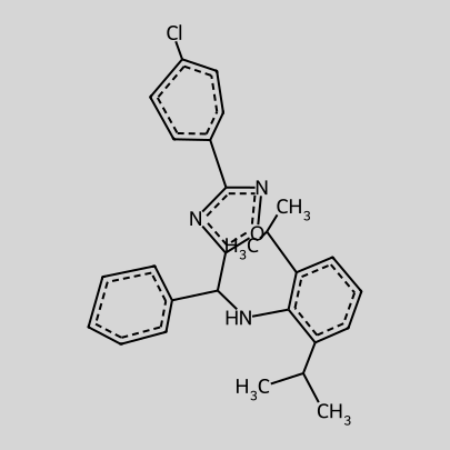 CC(C)c1cccc(C(C)C)c1NC(c1ccccc1)c1nc(-c2ccc(Cl)cc2)no1